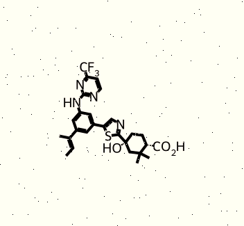 CC=C(C)c1cc(Nc2nccc(C(F)(F)F)n2)cc(-c2cnc([C@@]3(O)CC[C@H](C(=O)O)C(C)(C)C3)s2)c1